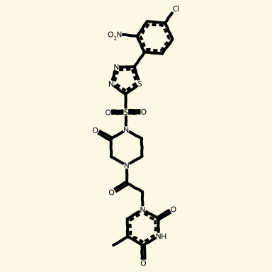 Cc1cn(CC(=O)N2CCN(S(=O)(=O)c3nnc(-c4ccc(Cl)cc4[N+](=O)[O-])s3)C(=O)C2)c(=O)[nH]c1=O